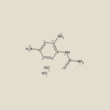 Cl.Cl.NC(=O)Nc1ccc(N)cc1N